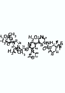 Cc1ncc(NC(=O)c2cccc(C(F)(F)F)c2)cc1-c1cnc(OCCN2CCN(C(=O)OC(C)(C)C)CC2(C)C)c(N2CCOCC2)c1